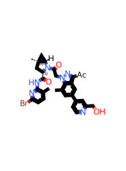 CC(=O)c1nn(CC(=O)N2[C@H](C(=O)Nc3nc(Br)ccc3C)C[C@@]3(C)C[C@@H]23)c2c(C)cc(-c3ccnc(CO)c3)cc12